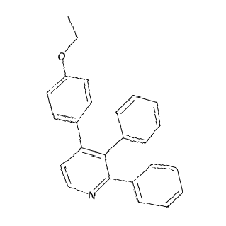 CCOc1ccc(-c2ccnc(-c3ccccc3)c2-c2ccccc2)cc1